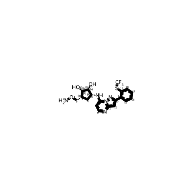 NOC[C@H]1C[C@@H](Nc2ccnc3cc(-c4ccccc4SC(F)(F)F)nn23)[C@H](O)[C@@H]1O